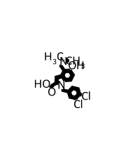 CN(C)Cc1c(O)ccc2c1cc(C(=O)O)n2Cc1ccc(Cl)c(Cl)c1